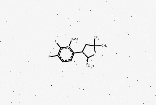 COc1c(C2CC(C)(C(F)(F)F)SC2C(=O)O)ccc(F)c1F